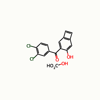 O=C(O)O.O=C(c1ccc(Cl)c(Cl)c1)c1cc2c(cc1O)C=C2